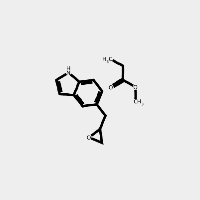 CCC(=O)OC.c1cc2cc(CC3CO3)ccc2[nH]1